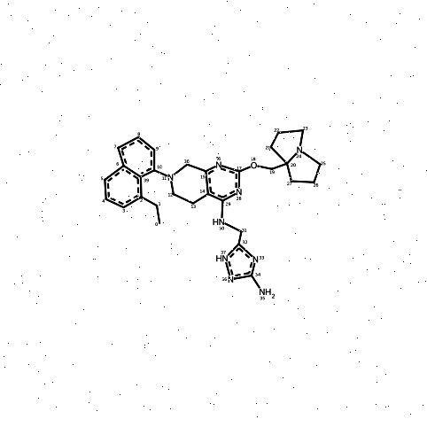 CCc1cccc2cccc(N3CCc4c(nc(OCC56CCCN5CCC6)nc4NCc4nc(N)n[nH]4)C3)c12